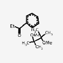 CCC(=O)c1ccccc1.COC(C)(C)C(C)(C)OC